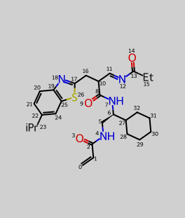 C=CC(=O)NC[C@@H](NC(=O)C(/C=N/C(=O)CC)Cc1nc2ccc(C(C)C)cc2s1)C1CCCCC1